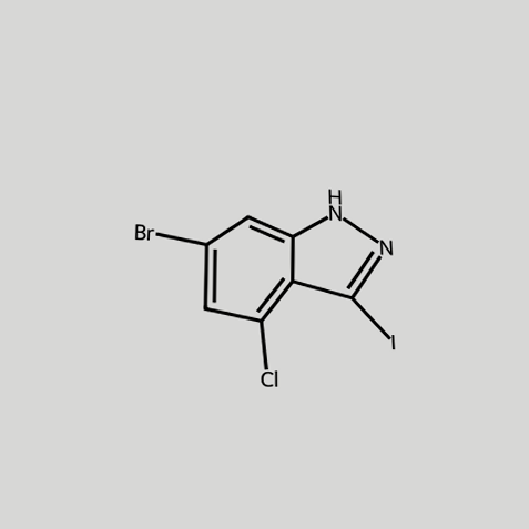 Clc1cc(Br)cc2[nH]nc(I)c12